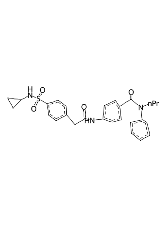 CCCN(C(=O)c1ccc(NC(=O)Cc2ccc(S(=O)(=O)NC3CC3)cc2)cc1)c1ccccc1